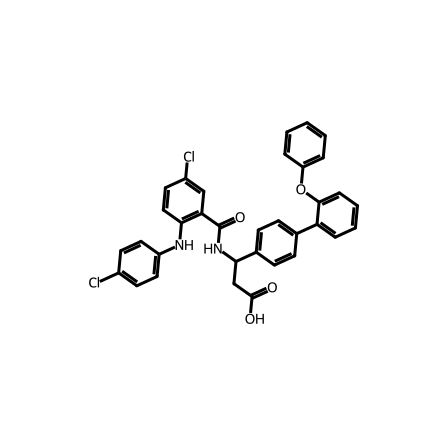 O=C(O)CC(NC(=O)c1cc(Cl)ccc1Nc1ccc(Cl)cc1)c1ccc(-c2ccccc2Oc2ccccc2)cc1